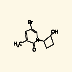 Cc1cc(Br)cn([C@@H]2CC[C@@H]2O)c1=O